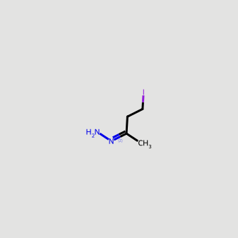 C/C(CCI)=N/N